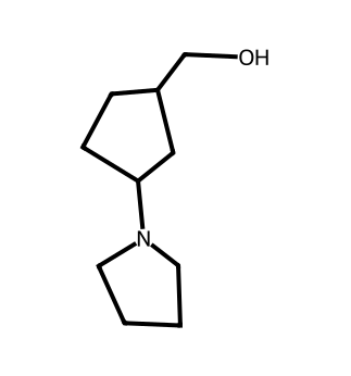 OCC1CCC(N2CCCC2)C1